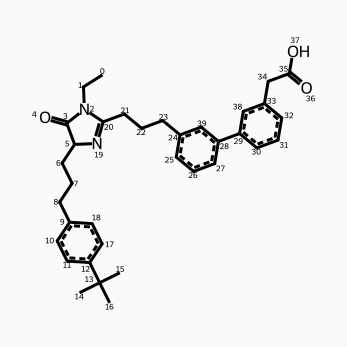 CCN1C(=O)C(CCCc2ccc(C(C)(C)C)cc2)N=C1CCCc1cccc(-c2cccc(CC(=O)O)c2)c1